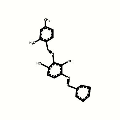 Cc1ccc(N=Nc2c(O)ccc(N=Nc3ccccc3)c2O)c(C)c1